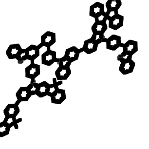 CC1(C)c2ccccc2-c2ccc(-c3ccc4c(c3)c3cc5c(cc3n4-c3ccc(-c4cc(-c6ccccc6-c6cccc(-n7c8ccccc8c8cc(-c9ccc%10c(c9)c9cc%11c(cc9n%10-c9ccc(-c%10cccc%12c%10oc%10ccccc%10%12)cc9)C9(c%10ccccc%10-c%10ccccc%109)c9ccccc9-%11)ccc87)c6)cc6c4oc4ccccc46)cc3)C(C)(C)c3ccccc3-5)cc21